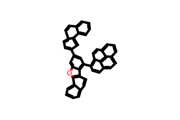 c1ccc2c(c1)ccc1ccc(-c3cc(-c4ccc5ccc6cccc7ccc4c5c67)c4c(c3)oc3c5ccccc5ccc34)cc12